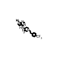 FC(F)(F)c1ccc(CCN2CCC(Nc3ncnc4c3ccn4SI)C(F)(F)C2)cc1